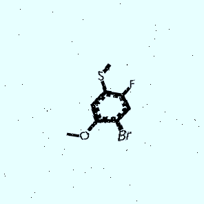 COc1cc(SC)c(F)cc1Br